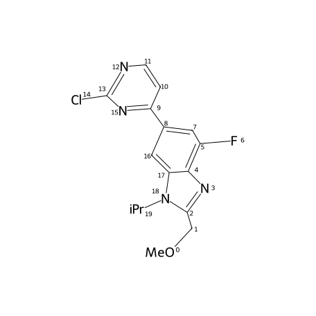 COCc1nc2c(F)cc(-c3ccnc(Cl)n3)cc2n1C(C)C